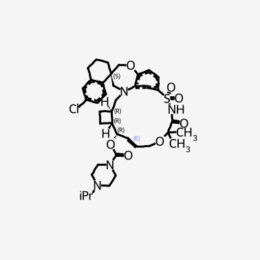 CC(C)N1CCN(C(=O)O[C@H]2/C=C/COC(C)(C)C(=O)NS(=O)(=O)c3ccc4c(c3)N(C[C@@H]3CC[C@H]32)C[C@@]2(CCCc3cc(Cl)ccc32)CO4)CC1